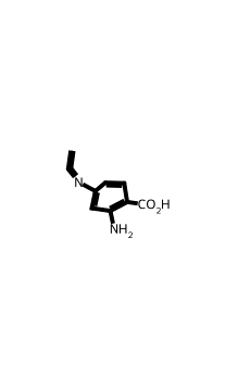 C=C=Nc1ccc(C(=O)O)c(N)c1